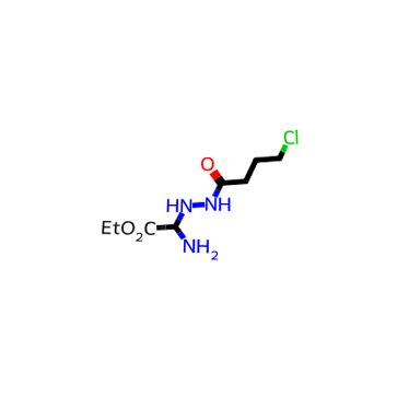 CCOC(=O)C(N)NNC(=O)CCCCl